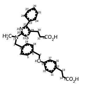 CN(Cc1ccc(COc2ccc(CCC(=O)O)cc2)cc1)c1nc(-c2ccccc2)c(CCC(=O)O)s1